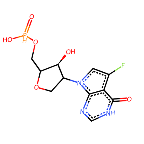 O=c1[nH]cnc2c1c(F)cn2C1COC(CO[PH](=O)O)[C@H]1O